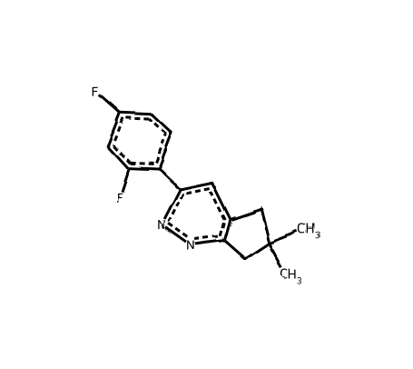 CC1(C)Cc2cc(-c3ccc(F)cc3F)nnc2C1